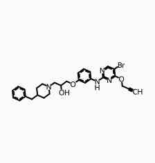 C#CCOc1nc(Nc2cccc(OCC(O)CN3CCC(Cc4ccccc4)CC3)c2)ncc1Br